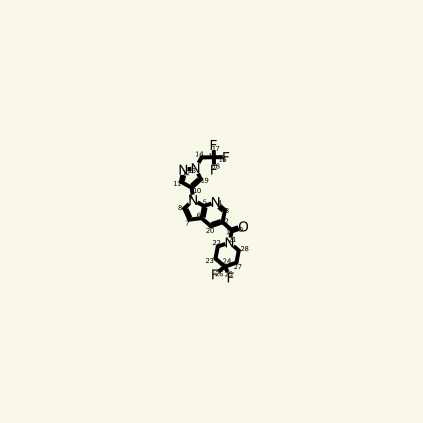 O=C(c1cnc2c(ccn2-c2cnn(CC(F)(F)F)c2)c1)N1CCC(F)(F)CC1